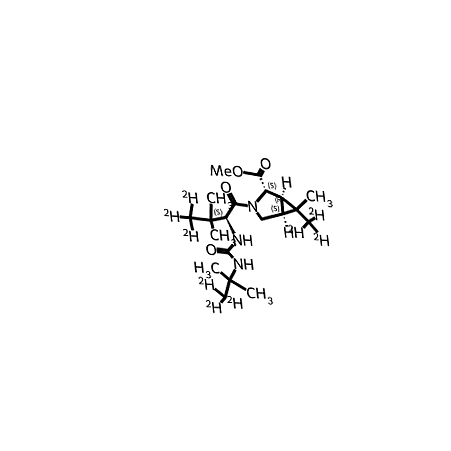 [2H]C([2H])([2H])C(C)(C)NC(=O)N[C@H](C(=O)N1C[C@H]2[C@@H]([C@H]1C(=O)OC)C2(C)C([2H])([2H])[2H])C(C)(C)C([2H])([2H])[2H]